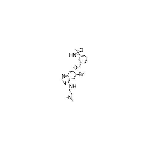 CN(C)CCNc1ncnc2cc(OCc3cccc(S(C)(=N)=O)c3)c(Br)cc12